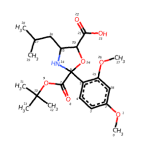 COc1ccc(C2(C(=O)OC(C)(C)C)NC(CC(C)C)C(C(=O)O)O2)c(OC)c1